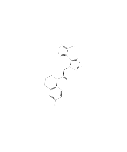 Nc1nonc1-c1nnnn1CC(=O)N1CCCc2cc(F)ccc21